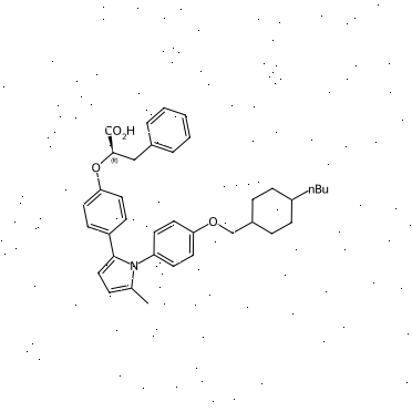 CCCCC1CCC(COc2ccc(-n3c(C)ccc3-c3ccc(O[C@H](Cc4ccccc4)C(=O)O)cc3)cc2)CC1